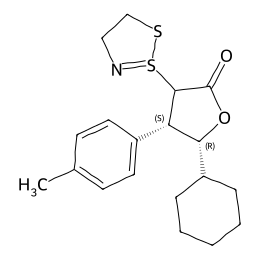 Cc1ccc([C@@H]2C(S3=NCCS3)C(=O)O[C@@H]2C2CCCCC2)cc1